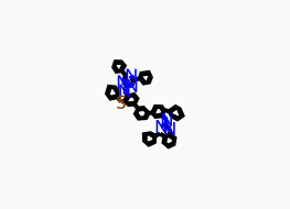 c1ccc(-c2nc(-c3ccccc3)nc(N3c4ccccc4Sc4cc(-c5cccc(-c6ccc7c8ccccc8n(-c8nc(-c9ccccc9)c9ccccc9n8)c7c6)c5)ccc43)n2)cc1